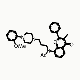 COc1ccccc1N1CCN(CCCN(C(C)=O)c2cccc3c(=O)c(C)c(-c4ccccc4)oc23)CC1